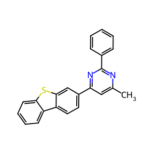 Cc1cc(-c2ccc3c(c2)sc2ccccc23)nc(-c2ccccc2)n1